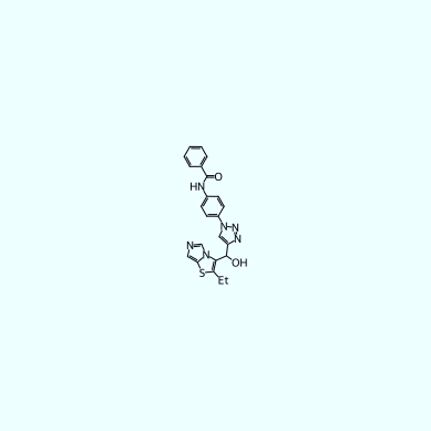 CCc1sc2cncn2c1C(O)c1cn(-c2ccc(NC(=O)c3ccccc3)cc2)nn1